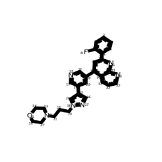 Fc1ccccc1-c1cc(-c2cncc(-c3cnn(CCCN4CCOCC4)c3)c2)c2cccnc2n1